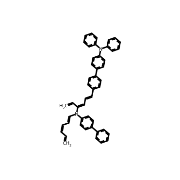 C=C/C=C\C=C\N(/C(C=C)=C/C=C/c1ccc(-c2ccc(N(c3ccccc3)c3ccccc3)cc2)cc1)c1ccc(-c2ccccc2)cc1